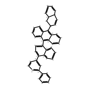 C1=CC2C=CC(c3c4ccccc4c(-c4ccc(-c5ccnc(-c6ccccc6)c5)c5ccccc45)c4ccccc34)CC2C=C1